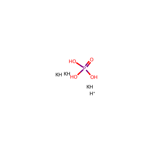 O=P(O)(O)O.[H+].[KH].[KH].[KH]